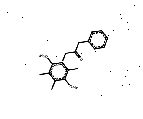 COc1c(C)c(C)c(OC)c(CC(=O)Cc2ccccc2)c1C